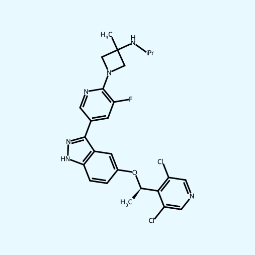 CC(C)NC1(C)CN(c2ncc(-c3n[nH]c4ccc(O[C@H](C)c5c(Cl)cncc5Cl)cc34)cc2F)C1